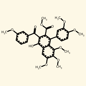 COC(=O)c1c(C(=O)c2cccc(OC)c2)c(O)c2cc(OC)c(OC)c(OC)c2c1-c1ccc(OC)c(OC)c1